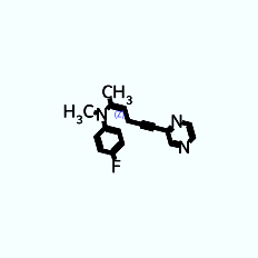 C/C(=C/CC#Cc1cnccn1)N(C)c1ccc(F)cc1